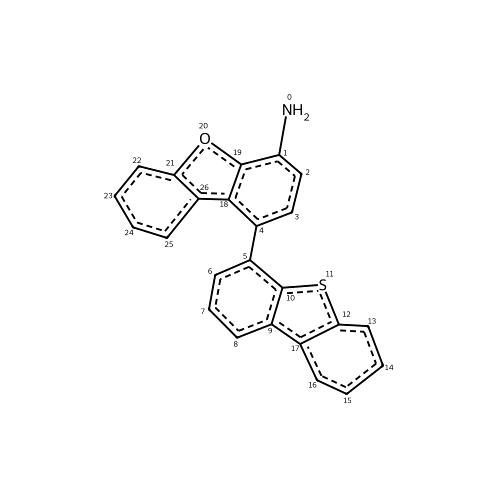 Nc1ccc(-c2cccc3c2sc2ccccc23)c2c1oc1ccccc12